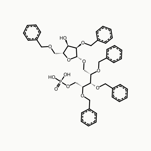 O=P(O)(O)OC[C@@H](OCc1ccccc1)[C@@H](OCc1ccccc1)[C@H](CO[C@@H]1O[C@H](COCc2ccccc2)[C@@H](O)[C@H]1OCc1ccccc1)OCc1ccccc1